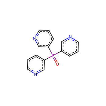 O=P(c1cccnc1)(c1cccnc1)c1cccnc1